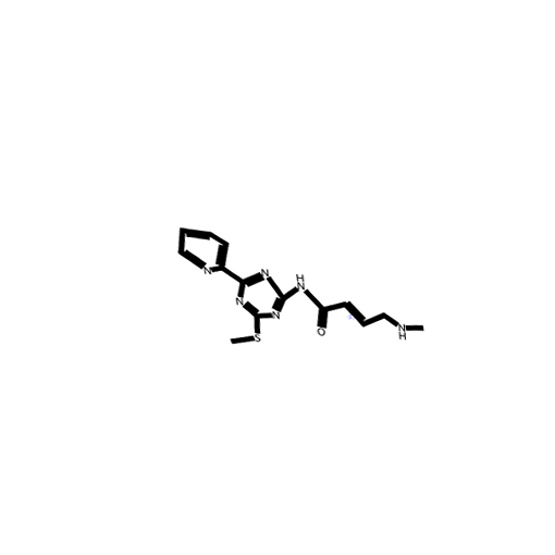 CNC/C=C/C(=O)Nc1nc(SC)nc(-c2ccccn2)n1